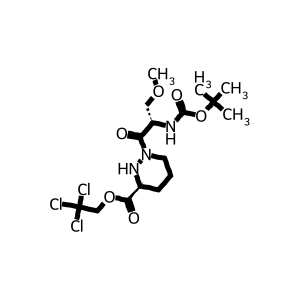 COC[C@H](NC(=O)OC(C)(C)C)C(=O)N1CCC[C@@H](C(=O)OCC(Cl)(Cl)Cl)N1